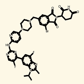 Cc1nc2c(F)cc(-c3nc(Nc4ccc(N5CCN(Cc6cc(Br)c7c(c6)C(=O)N(C6CCC(=O)NC6=O)C7=O)CC5)cn4)ncc3F)cc2n1C(C)C